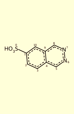 O=S(=O)(O)c1ccc2cnncc2c1